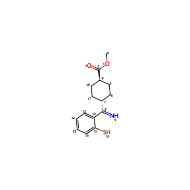 COC(=O)[C@H]1CC[C@H](C(=N)c2ccccc2S)CC1